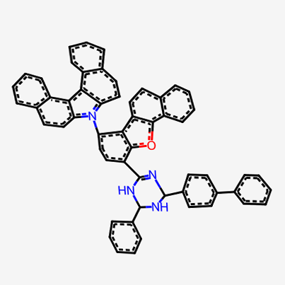 c1ccc(-c2ccc(C3N=C(c4ccc(-n5c6ccc7ccccc7c6c6c7ccccc7ccc65)c5c4oc4c6ccccc6ccc45)NC(c4ccccc4)N3)cc2)cc1